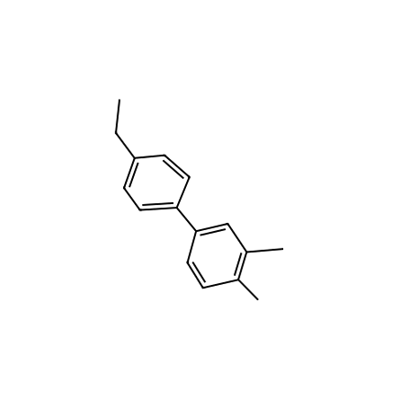 CCc1ccc(-c2ccc(C)c(C)c2)cc1